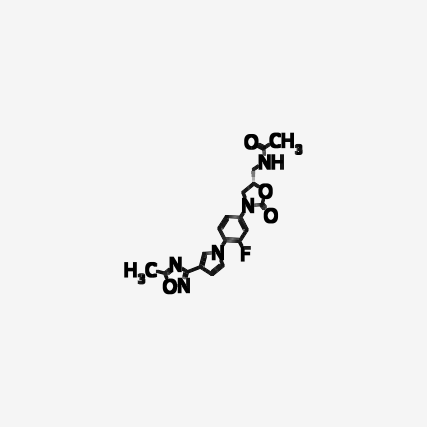 CC(=O)NC[C@H]1CN(c2ccc(-n3ccc(-c4noc(C)n4)c3)c(F)c2)C(=O)O1